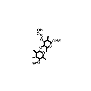 COC1C(C)O[C@@H](OC2C(C)O[C@@H](OC)C(C)[C@H]2OSOO)C(C)[C@@H]1C